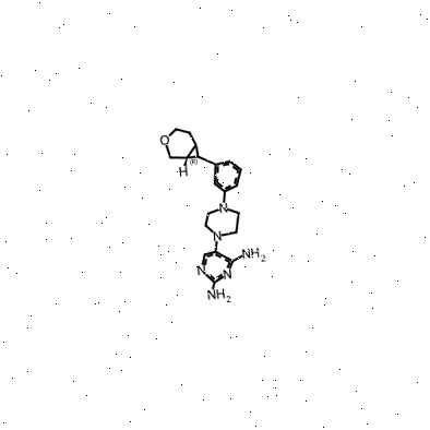 Nc1ncc(N2CCN(c3cccc(C4C5CCOC[C@H]54)c3)CC2)c(N)n1